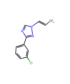 FC(F)(F)C=Cn1cnc(-c2cccc(Cl)c2)n1